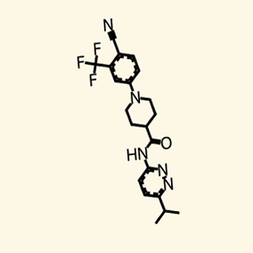 CC(C)c1ccc(NC(=O)C2CCN(c3ccc(C#N)c(C(F)(F)F)c3)CC2)nn1